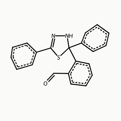 O=Cc1ccccc1C1(c2ccccc2)NN=C(c2ccccc2)S1